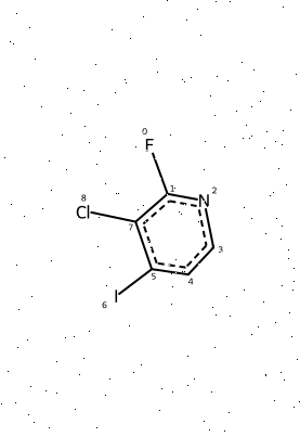 Fc1nccc(I)c1Cl